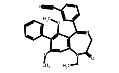 CCN1C(=O)CN=C(c2cccc(C#N)c2)c2c1cc(OC)c(-c1ccccc1)c2OC